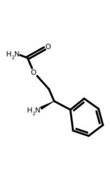 NC(=O)OC[C@H](N)c1ccccc1